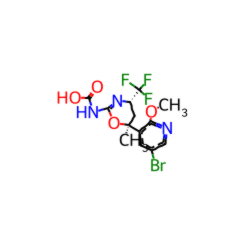 COc1ncc(Br)cc1[C@]1(C)C[C@@H](C(F)(F)F)N=C(NC(=O)O)O1